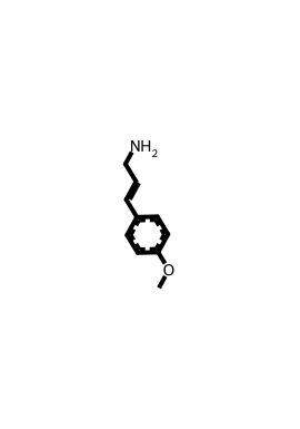 COc1ccc(/C=C/CN)cc1